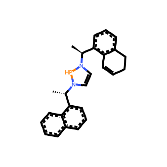 C[C@@H](c1cccc2c1C=CCC2)N1C=CN([C@@H](C)c2cccc3ccccc23)P1